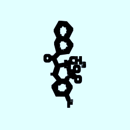 CN1C(C(=O)c2ccc3ccccc3c2)=[C]c2ccc(F)cc2S1(=O)=O